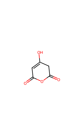 O=C1C=C(O)CC(=O)O1